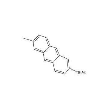 CC(=O)Nc1ccc2cc3cc(C)ccc3cc2c1